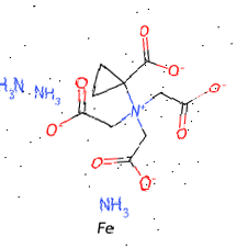 N.N.N.O=C([O-])C[N+](CC(=O)[O-])(CC(=O)[O-])C1(C(=O)[O-])CC1.[Fe]